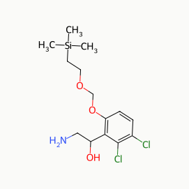 C[Si](C)(C)CCOCOc1ccc(Cl)c(Cl)c1C(O)CN